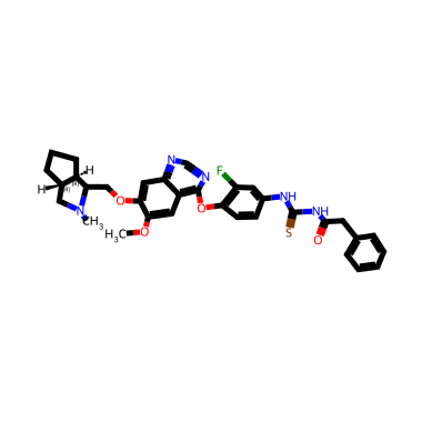 COc1cc2c(Oc3ccc(NC(=S)NC(=O)Cc4ccccc4)cc3F)ncnc2cc1OCC1[C@@H]2CCC[C@H]2CN1C